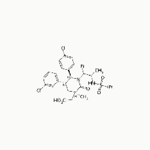 CCC(C(C)NS(=O)(=O)C(C)C)N1C(=O)[C@@](C)(CC(=O)O)C[C@H](c2cccc(Cl)c2)[C@H]1c1ccc(Cl)cc1